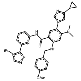 COc1ccc(CNc2cc(N(C)C)c(-n3cnc(C4CC4)c3)cc2C(=O)Nc2cccc(-c3nncn3C(C)C)n2)cc1